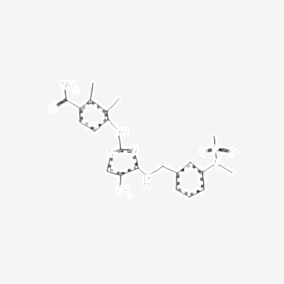 Cc1c(Nc2ncc(C(F)(F)F)c(NCc3cccc(N(C)S(C)(=O)=O)c3)n2)ccc(C(N)=O)c1C